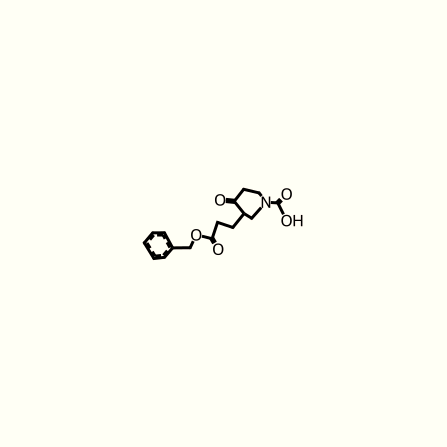 O=C(CCC1CN(C(=O)O)CCC1=O)OCc1ccccc1